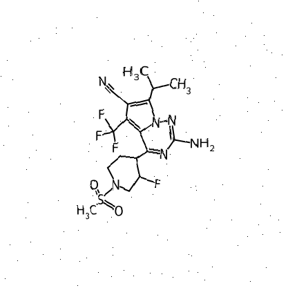 CC(C)c1c(C#N)c(C(F)(F)F)c2c(C3CCN(S(C)(=O)=O)CC3F)nc(N)nn12